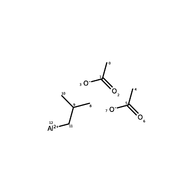 CC(=O)[O-].CC(=O)[O-].CC(C)[CH2][Al+2]